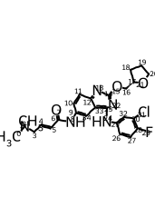 CN(C)C/C=C/C(=O)Nc1ccc2nc(OC[C@H]3CCCO3)nc(Nc3ccc(F)c(Cl)c3)c2c1